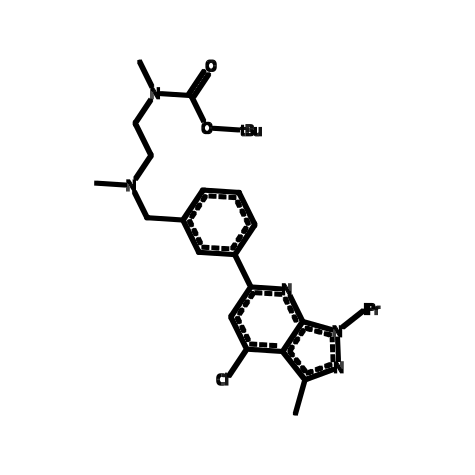 Cc1nn(C(C)C)c2nc(-c3cccc(CN(C)CCN(C)C(=O)OC(C)(C)C)c3)cc(Cl)c12